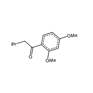 [CH2]C(C)CC(=O)c1ccc(OC)cc1OC